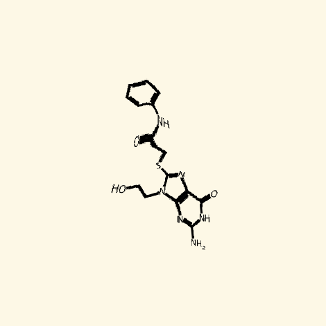 Nc1nc2c(nc(SCC(=O)Nc3ccccc3)n2CCO)c(=O)[nH]1